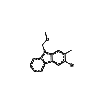 COCn1c2ccccc2c2cc(Br)c(C)cc21